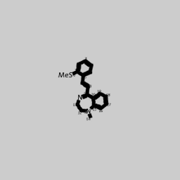 CSc1ccccc1C=CC1=NCCN(C)c2ccccc21